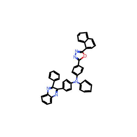 c1ccc(-c2nc3ccccc3nc2-c2ccc(N(c3ccccc3)c3ccc(-c4nnc(-c5cccc6ccccc56)o4)cc3)cc2)cc1